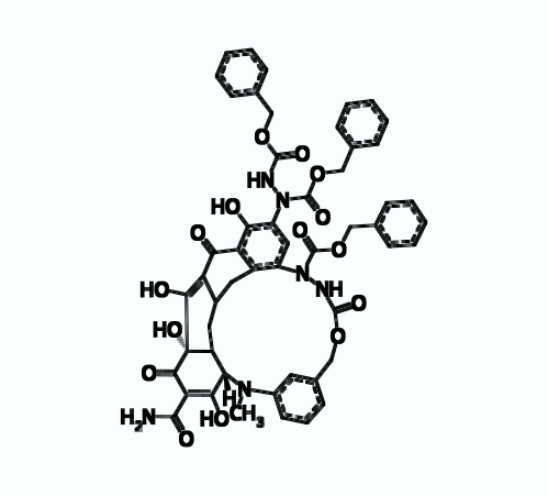 CN1c2cccc(c2)COC(=O)NN(C(=O)OCc2ccccc2)c2cc(N(NC(=O)OCc3ccccc3)C(=O)OCc3ccccc3)c(O)c3c2CC2CC4[C@H]1C(O)=C(C(N)=O)C(=O)[C@@]4(O)C(O)=C2C3=O